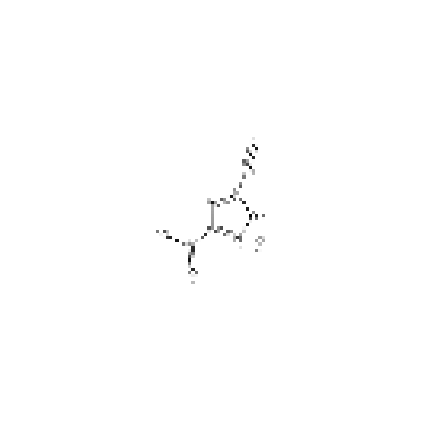 C#Cc1cc(C(=O)[O-])no1.[K+]